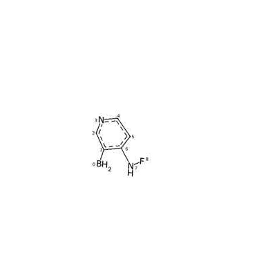 Bc1cnccc1NF